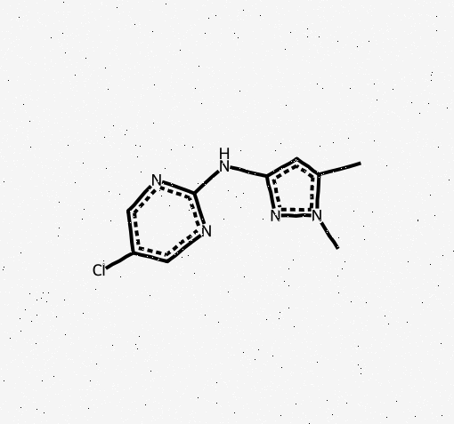 Cc1cc(Nc2ncc(Cl)cn2)nn1C